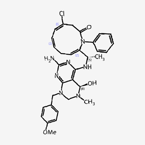 COc1ccc(CN2CN(C)[C@H](O)c3c(N[C@@H](C)/C4=C/C/C=C\C=C(\Cl)CC(=O)N4c4ccccc4)nc(N)nc32)cc1